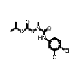 CC(C)OC(=O)SN(C)C(=O)Nc1ccc(Cl)c(Cl)c1